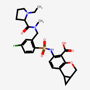 CCN1CCCC1C(=O)N(C)Cc1cc(F)ccc1S(=O)(=O)Nc1ccc2c(c1C(=O)O)OCC1CC21